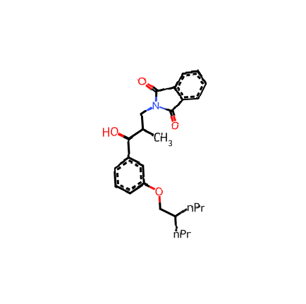 CCCC(CCC)COc1cccc(C(O)C(C)CN2C(=O)c3ccccc3C2=O)c1